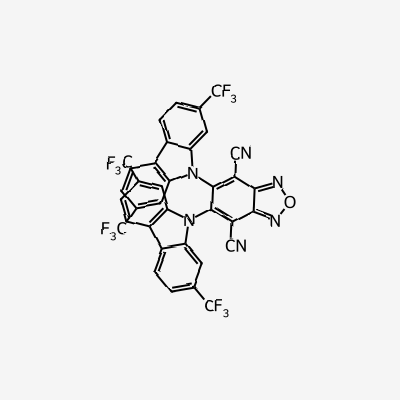 N#Cc1c(-n2c3cc(C(F)(F)F)ccc3c3ccc(C(F)(F)F)cc32)c(-n2c3cc(C(F)(F)F)ccc3c3ccc(C(F)(F)F)cc32)c(C#N)c2nonc12